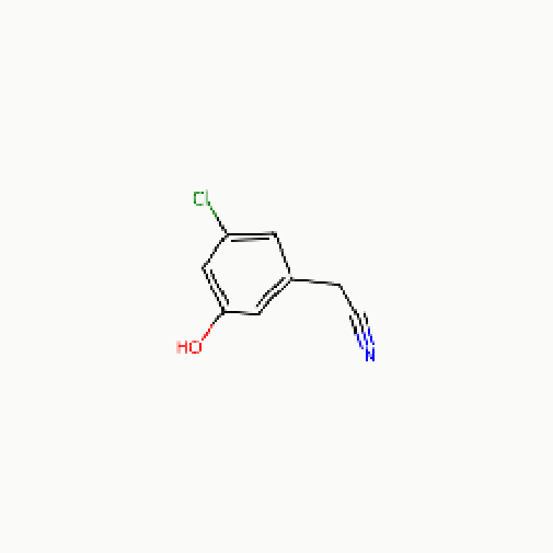 N#CCc1cc(O)cc(Cl)c1